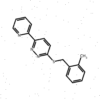 Cc1ccccc1CSc1ccc(-c2ccccn2)nn1